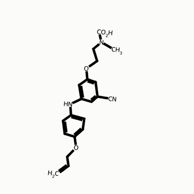 C=CCOc1ccc(Nc2cc(C#N)cc(OCCN(C)C(=O)O)c2)cc1